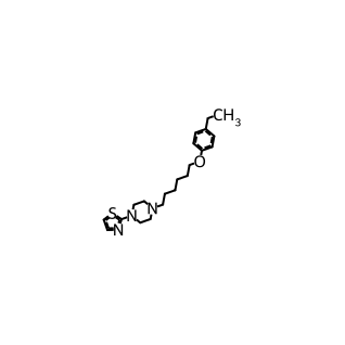 CCc1ccc(OCCCCCCN2CCN(c3nccs3)CC2)cc1